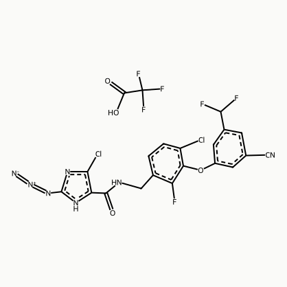 N#Cc1cc(Oc2c(Cl)ccc(CNC(=O)c3[nH]c(N=[N+]=[N-])nc3Cl)c2F)cc(C(F)F)c1.O=C(O)C(F)(F)F